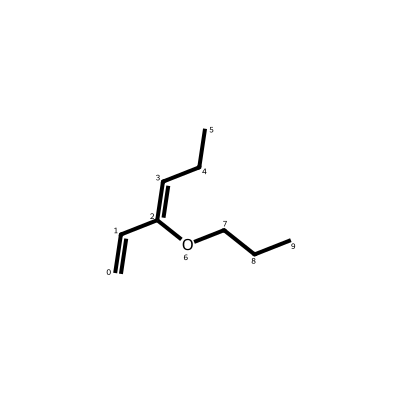 C=CC(=CCC)OCCC